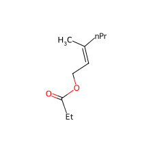 CCCC(C)=CCOC(=O)CC